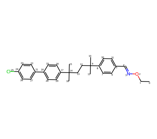 CCO/N=C/c1ccc(C(C)(C)CCC(C)(C)c2ccc(-c3ccc(Cl)cc3)cc2)cc1